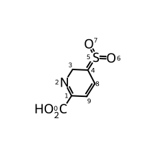 O=C(O)C1=NCC(=S(=O)=O)C=C1